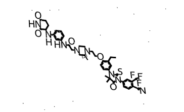 CCc1cc(N2C(=S)N(c3ccc(C#N)c(C(F)(F)F)c3)C(=O)C2(C)C)ccc1OCCN1CCN(CC(=O)Nc2cccc(NC3CCC(=O)NC3=O)c2)C[C@@H]1C